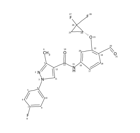 Cc1nn(-c2ccc(F)cc2)cc1C(=O)Nc1ccc(C=O)c(O[C@@H]2CC2(F)F)c1